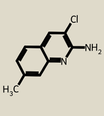 Cc1ccc2cc(Cl)c(N)nc2c1